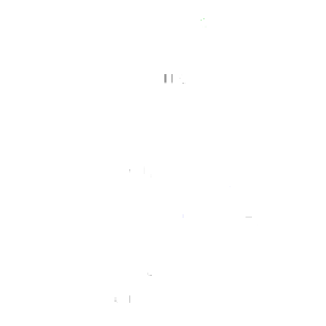 CC1=C(/C=C/C(C)=C\C=C\C(C)=C\Cl)C(C)(C)CCC1